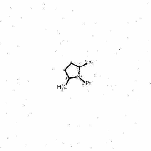 CC(C)[C@@H]1CCC(C)N1C(C)C